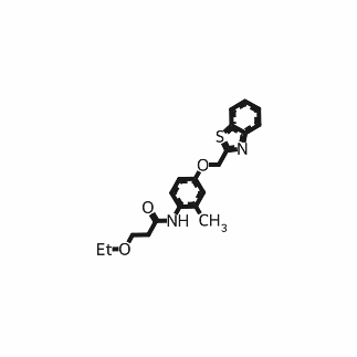 CCOCCC(=O)Nc1ccc(OCc2nc3ccccc3s2)cc1C